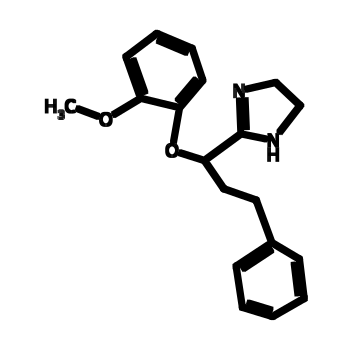 COc1ccccc1OC(CCc1ccccc1)C1=NCCN1